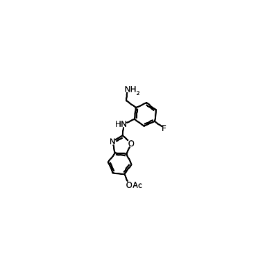 CC(=O)Oc1ccc2nc(Nc3cc(F)ccc3CN)oc2c1